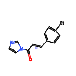 CCc1ccc(/C=C/C(=O)n2ccnc2)cc1